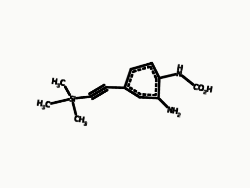 C[Si](C)(C)C#Cc1ccc(NC(=O)O)c(N)c1